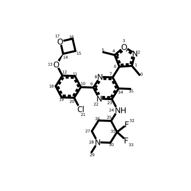 Cc1noc(C)c1-c1nc(-c2cc(O[C@@H]3CCO3)ccc2Cl)nc(NC2CCN(C)CC2(F)F)c1C